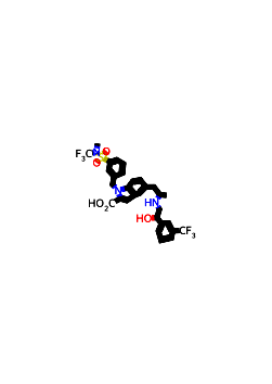 CC(Cc1ccc2c(c1)cc(C(=O)O)n2Cc1cccc(S(=O)(=O)N(C)C(F)(F)F)c1)NCC(O)c1cccc(C(F)(F)F)c1